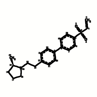 C=CS(=O)(=O)c1ccc(-c2ccc(CCN3CCC[C@H]3C)cc2)cc1